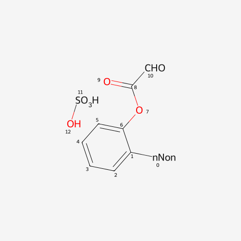 CCCCCCCCCc1ccccc1OC(=O)C=O.O=S(=O)(O)O